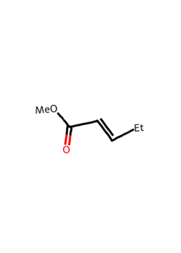 CC/C=C/C(=O)OC